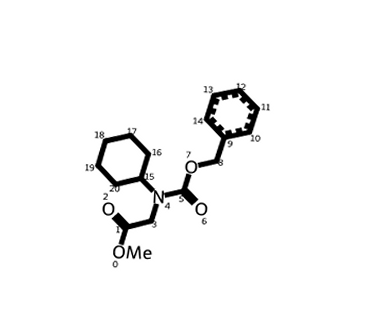 COC(=O)CN(C(=O)OCc1ccccc1)C1CCCCC1